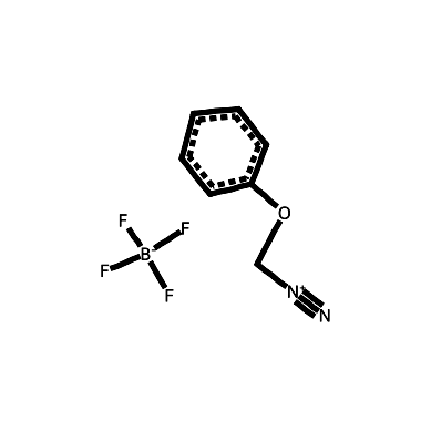 F[B-](F)(F)F.N#[N+]COc1ccccc1